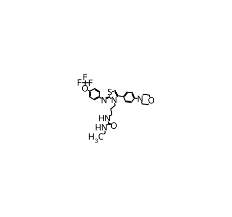 CCNC(=O)NCCCn1c(-c2ccc(N3CCOCC3)cc2)cs/c1=N\c1ccc(OC(F)(F)F)cc1